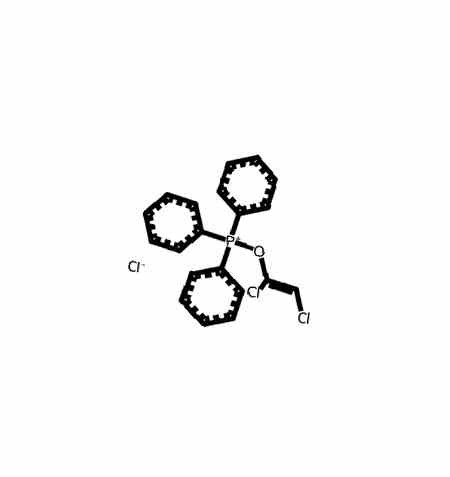 ClC=C(Cl)O[P+](c1ccccc1)(c1ccccc1)c1ccccc1.[Cl-]